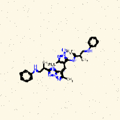 C=C(Nc1c(/C=c2/c(C)nn3nc(C(C)CNc4ccccc4)nc23)c(C)nn1N)C(C)CNc1ccccc1